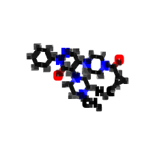 CC1CC1C(=O)N1CCN(c2cnn(-c3ccccc3)c(=O)c2N2CCN(C)CC2)CC1